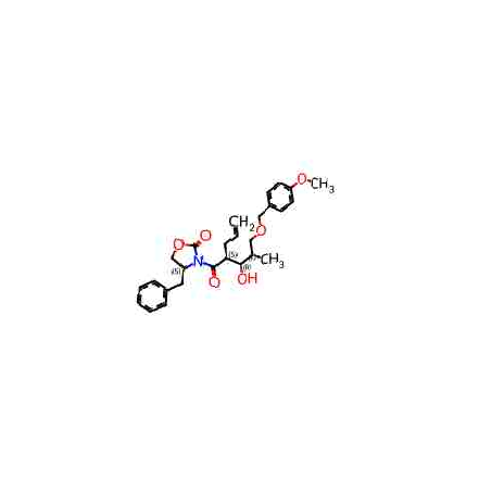 C=CC[C@H](C(=O)N1C(=O)OC[C@@H]1Cc1ccccc1)[C@H](O)[C@H](C)COCc1ccc(OC)cc1